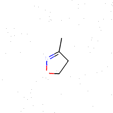 CC1=NO[CH]C1